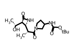 C[C@@H](O)[C@H]1C(=O)N[C@@H]1[C@@H](C)C(=O)N1CCC(NC(=O)OC(C)(C)C)C1